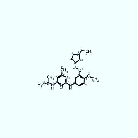 CCN1CC[C@@H](COc2cc(Nc3nc(C)cc(NC(C)C)n3)ccc2OC)C1